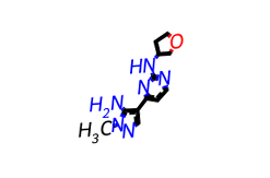 Cn1ncc(-c2ccnc(NC3CCOC3)n2)c1N